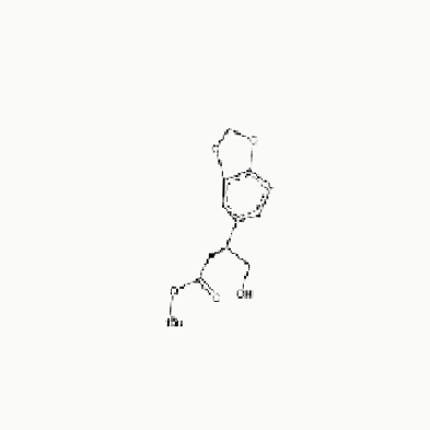 CC(C)(C)OC(=O)C[C@H](CO)c1ccc2c(c1)OCO2